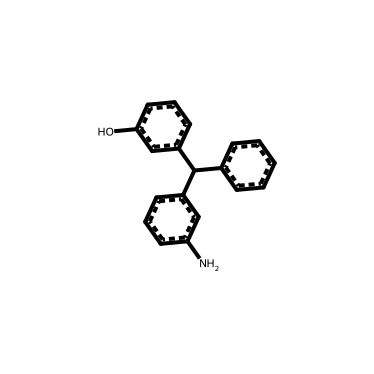 Nc1cccc(C(c2ccccc2)c2cccc(O)c2)c1